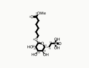 COC(=O)CCCCCO[C@H]1O[C@H](CCP(=O)(O)O)[C@@H](O)[C@H](O)[C@@H]1O